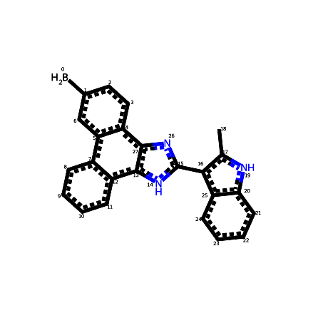 Bc1ccc2c(c1)c1ccccc1c1[nH]c(-c3c(C)[nH]c4ccccc34)nc21